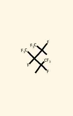 CC(F)(C(F)(F)F)C(F)(C(F)(F)F)C(C)(F)C(F)(F)F